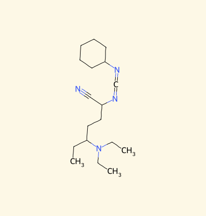 CCC(CCC(C#N)N=C=NC1CCCCC1)N(CC)CC